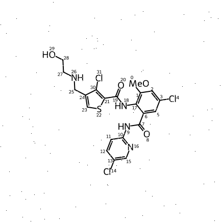 COc1cc(Cl)cc(C(=O)Nc2ccc(Cl)cn2)c1NC(=O)c1scc(CNCCO)c1Cl